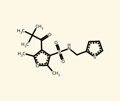 Cc1oc(C)c(S(=O)(=O)NCc2cccs2)c1C(=O)C(C)(C)C